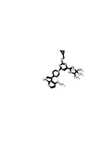 COc1ccnc2[nH]cc(C3CCN(c4cc(C(=O)NC(C)C(C)(C)N)nc(OCC5CC5)n4)CC3)c12